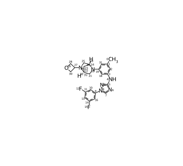 Cc1cc(Nc2ncn(-c3cc(F)cc(F)c3)n2)cc(N2C[C@@H]3C[C@@H]2CN3C2COC2)c1